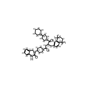 CC1(C)CCC(C)(C)c2cc(CC(CC(=O)N3CCC(N4Cc5ccccc5NC4=O)CC3)C(=O)N3CCC(N4CCCCC4)CC3)ccc21